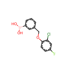 OB(O)c1cccc(COc2ccc(F)cc2Cl)c1